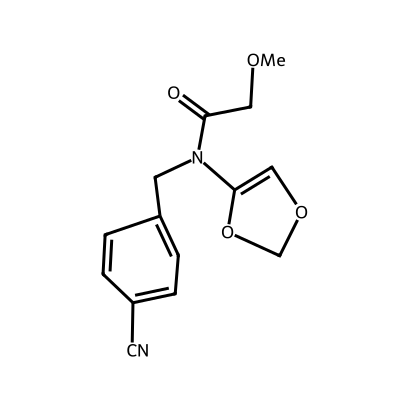 COCC(=O)N(Cc1ccc(C#N)cc1)C1=COCO1